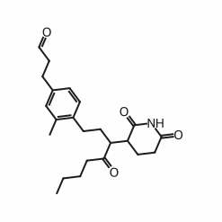 CCCCC(=O)C(CCc1ccc(CCC=O)cc1C)C1CCC(=O)NC1=O